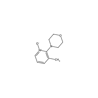 Cc1ccc[n+]([O-])c1N1CCOCC1